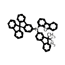 CC1(C)c2ccccc2-c2ccc(N(c3ccc4c(c3)-c3ccccc3C43c4ccccc4-c4ccccc43)c3cccc4c3oc3ccccc34)cc21